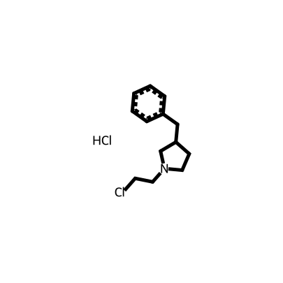 Cl.ClCCN1CCC(Cc2ccccc2)C1